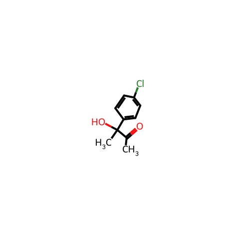 CC(=O)C(C)(O)c1ccc(Cl)cc1